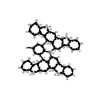 Cc1cc2c3c(c1)-c1c4c(cc5c6ccccc6sc5c4cc4sc5ccccc5c14)B3c1cc3c4ccccc4sc3c3cc4sc5ccccc5c4c-2c13